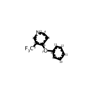 FC(F)(F)c1cnccc1Oc1ccccc1